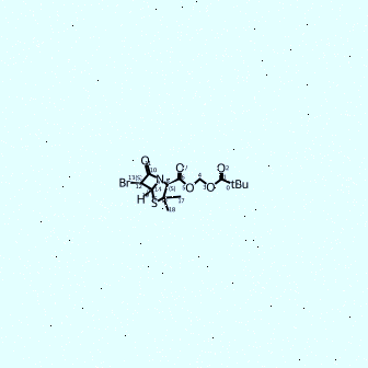 CC(C)(C)C(=O)OCOC(=O)[C@@H]1N2C(=O)[C@H](Br)[C@H]2SC1(C)C